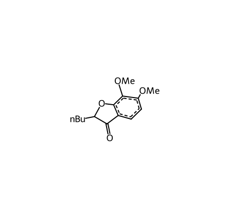 CCCCC1Oc2c(ccc(OC)c2OC)C1=O